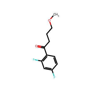 COCCCC(=O)c1ccc(F)cc1F